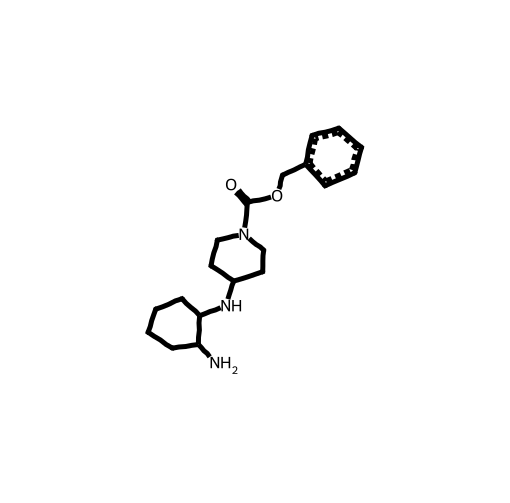 NC1CCCCC1NC1CCN(C(=O)OCc2ccccc2)CC1